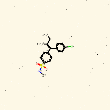 CCOC(=O)C(CC(=O)O)=C(c1ccc(Cl)cc1)c1ccc(S(=O)(=O)NC(C)(C)C)cc1